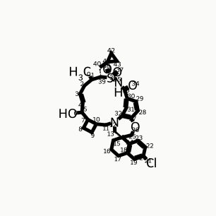 CC1C/C=C/C(O)C2CCC2CN2C[C@@]3(CCCc4cc(Cl)ccc43)COc3ccc(cc32)C(=O)NS(=O)(=O)[C@H]1CC1CC1